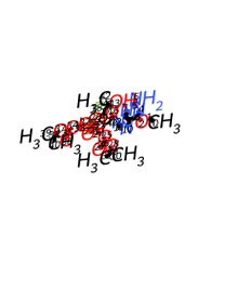 CCOc1nc(N)nc2c1ncn2[C@@H](CO)O[C@](F)(COP(=O)(OCOC(=O)OC(C)C)OCOC(=O)OC(C)C)[C@H](C)O